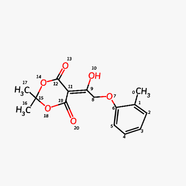 Cc1ccccc1OCC(O)=C1C(=O)OC(C)(C)OC1=O